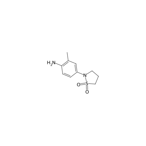 Cc1cc(N2CCCS2(=O)=O)ccc1N